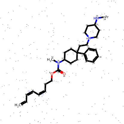 C=C/C=C\C=C/CCOC(=O)N(C)C1CCC(CCN2CCC(NCCC)CC2)(c2ccccc2)CC1